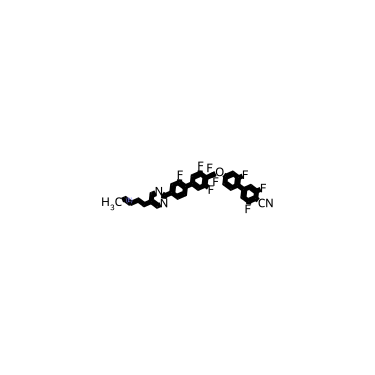 C/C=C/CCc1cnc(-c2ccc(-c3cc(F)c(C(F)(F)Oc4ccc(-c5cc(F)c(C#N)c(F)c5)c(F)c4)c(F)c3)c(F)c2)nc1